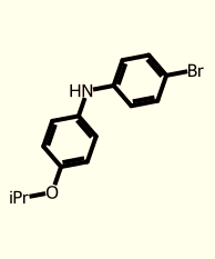 CC(C)Oc1ccc(Nc2ccc(Br)cc2)cc1